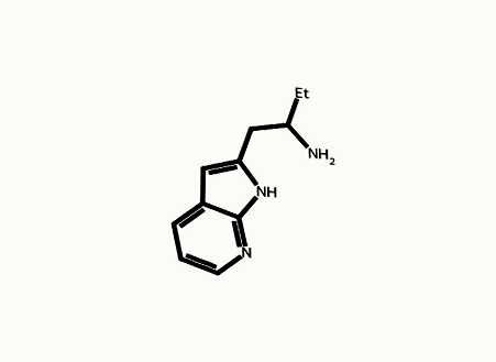 CCC(N)Cc1cc2cccnc2[nH]1